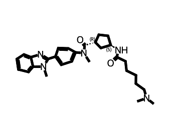 CN(C)CCCCCC(=O)N[C@H]1CC[C@@H](C(=O)N(C)c2ccc(-c3nc4ccccc4n3C)cc2)C1